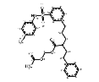 CC(=O)OCOC(=O)C(CCCc1cccc(S(=O)(=O)Nc2ccc(C)cc2)c1)CCc1ccccc1